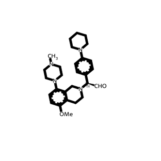 COc1ccc(N2CCN(C)CC2)c2c1CCN([C@H](C=O)c1ccc(N3CCCCC3)cc1)C2